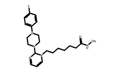 O=C(CCCCCCN1C=CC=NC1N1CCN(c2ccc(F)cc2)CC1)NO